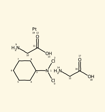 ClN(Cl)C1CCCCC1.NCC(=O)O.NCC(=O)O.[Pt]